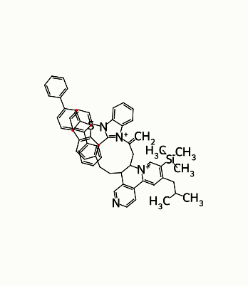 C=C1CC2C(CCc3ccc4c(sc5cc(-c6ccccc6)ccc54)c3-c3n(-c4ccccc4-c4ccccc4)c4ccccc4[n+]31)c1cnccc1-c1cc(CC(C)C)c([Si](C)(C)C)c[n+]12